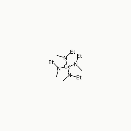 CC[N](C)[Ge]([N](C)CC)([N](C)CC)[N](C)CC